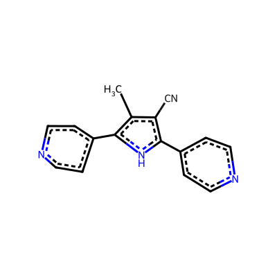 Cc1c(-c2ccncc2)[nH]c(-c2ccncc2)c1C#N